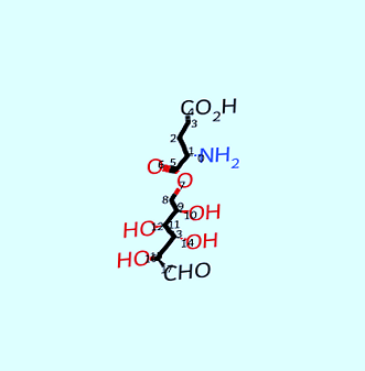 N[C@@H](CCC(=O)O)C(=O)OC[C@@H](O)[C@@H](O)[C@H](O)[C@H](O)C=O